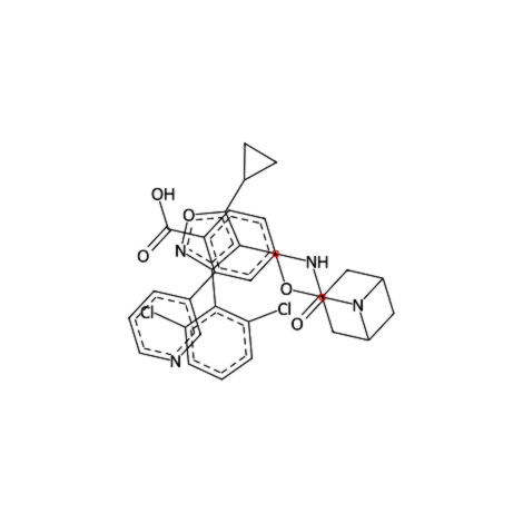 O=C(O)c1ccc(NC(=O)N2C3CC(OCc4c(-c5c(Cl)cccc5Cl)noc4C4CC4)CC2C3)cc1-c1cccnc1